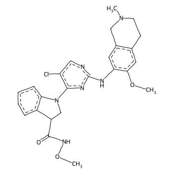 CONC(=O)C1CN(c2nc(Nc3cc4c(cc3OC)CCN(C)C4)ncc2Cl)c2ccccc21